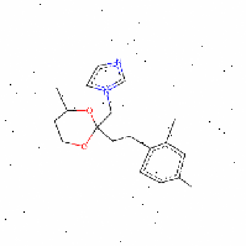 Cc1ccc(CCC2(Cn3ccnc3)OCCC(C)O2)c(C)c1